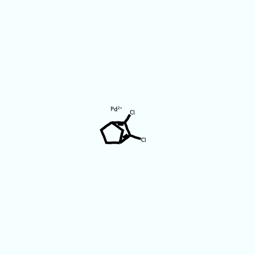 ClC1=C2CCC(=C1Cl)C2.[Pd+2]